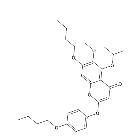 CCCCOc1ccc(Oc2cc(=O)c3c(OC(C)C)c(OC)c(OCCCC)cc3o2)cc1